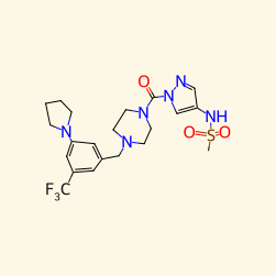 CS(=O)(=O)Nc1cnn(C(=O)N2CCN(Cc3cc(N4CCCC4)cc(C(F)(F)F)c3)CC2)c1